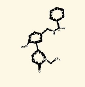 COc1ccc(CN[C@H](C)c2ccccc2)cc1-c1ccc(=O)n(CC(F)(F)F)c1